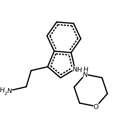 C1COCCN1.NCCc1c[nH]c2ccccc12